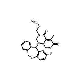 COCCN1CN(C2c3ccccc3COc3ccc(F)cc32)n2ccc(=O)c(C)c2C1=O